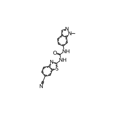 Cn1ncc2ccc(NC(=O)Nc3nc4ccc(C#N)cc4s3)cc21